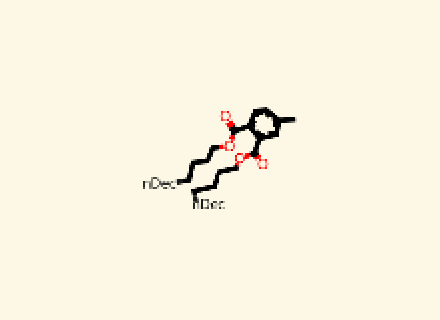 CCCCCCCCCCCCCCOC(=O)c1ccc(C)cc1C(=O)OCCCCCCCCCCCCCC